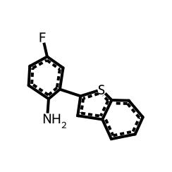 Nc1ccc(F)cc1-c1cc2ccccc2s1